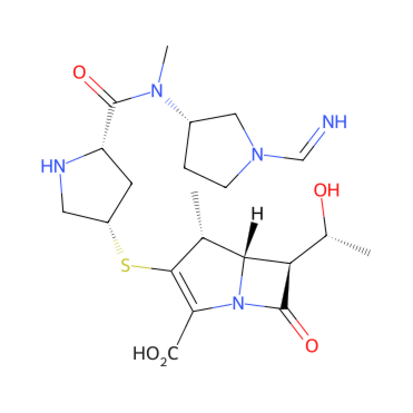 C[C@@H](O)[C@H]1C(=O)N2C(C(=O)O)=C(S[C@@H]3CN[C@H](C(=O)N(C)[C@H]4CCN(C=N)C4)C3)[C@H](C)[C@H]12